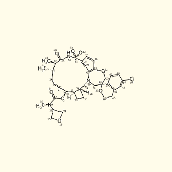 C[C@H]1C/C=C/[C@H](OC(=O)N(C)C2COC2)[C@@H]2CC[C@H]2CN2C[C@]3(COc4ccc(cc42)S(=O)(=O)NC(=O)[C@@H]1C)OCCc1cc(Cl)ccc13